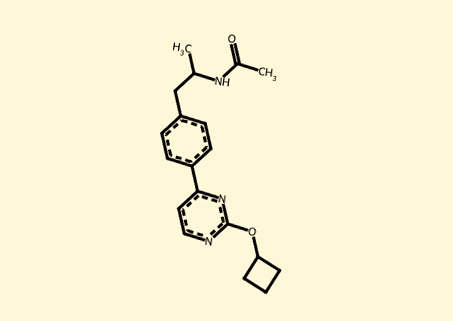 CC(=O)NC(C)Cc1ccc(-c2ccnc(OC3CCC3)n2)cc1